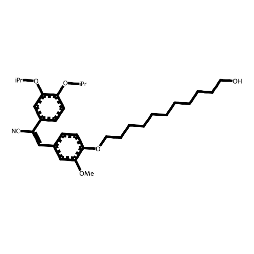 COc1cc(C=C(C#N)c2ccc(OC(C)C)c(OC(C)C)c2)ccc1OCCCCCCCCCCCO